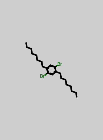 CCCCCCCCc1cc(Br)c(CCCCCCCC)cc1Br